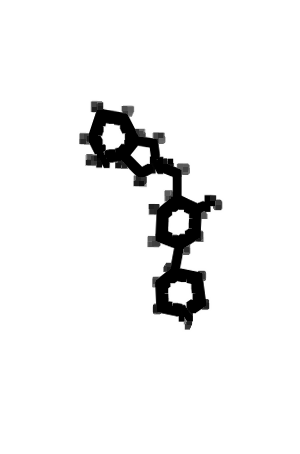 Fc1cc(-c2ccncc2)ccc1CN1Cc2cccnc2C1